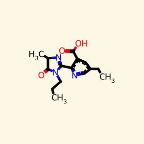 CCCN1C(=O)C(C)N=C1c1ncc(CC)cc1C(=O)O